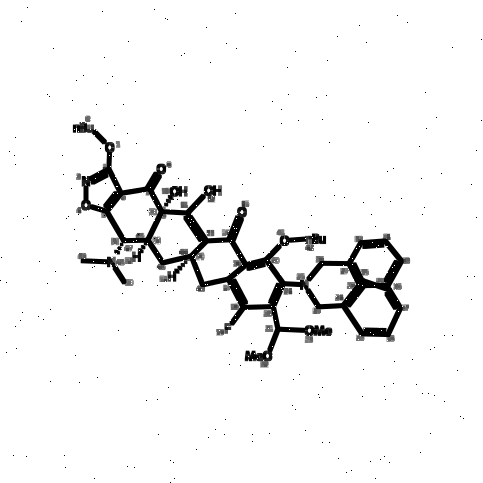 CCCCOc1noc2c1C(=O)[C@@]1(O)C(O)=C3C(=O)c4c(c(F)c(C(OC)OC)c(N(Cc5ccccc5)Cc5ccccc5)c4OCCCC)C[C@H]3C[C@H]1[C@@H]2N(C)C